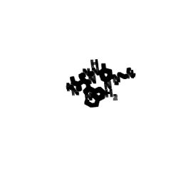 Cc1cc(N(C)CCN(C)C)c(N)cc1Nc1ncc(-c2cnn(C)c2C)c(-c2cn3c4c(cccc24)CCC3)n1